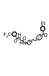 CCc1ccc(C(=O)N2CCN(CCN3CC[C@@H](NC(=O)CNC(=O)c4cccc(C(F)(F)F)c4)C3)CC2)cc1